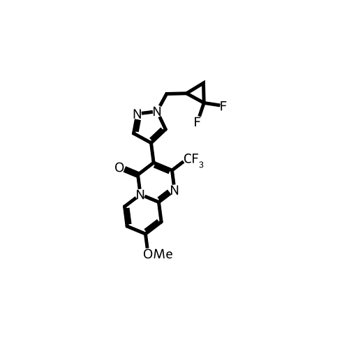 COc1ccn2c(=O)c(-c3cnn(CC4CC4(F)F)c3)c(C(F)(F)F)nc2c1